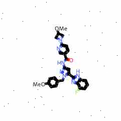 COc1ccc(Cn2nc(NC(=O)c3ccc(N4CC(OC)C4)nc3)cc2-c2nc3c(F)cccc3[nH]2)cc1